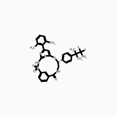 Cc1cccc(C)c1-c1cc2nc(n1)NS(=O)(=O)c1cccc(c1)C(=O)NC[C@@H](c1ccc(C(C)(C)C(F)(F)P)cc1)O2